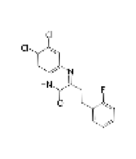 O=c1[nH]c2cc(Cl)c(Cl)cc2nc1C=Cc1ccccc1F